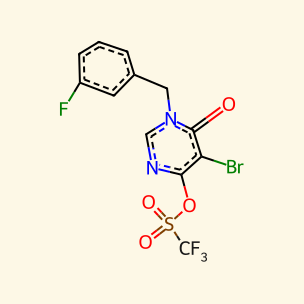 O=c1c(Br)c(OS(=O)(=O)C(F)(F)F)ncn1Cc1cccc(F)c1